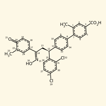 Cc1cc(C(=O)O)ccc1-c1ccc([C@H](CC(=NO)c2ccc(=O)n(C)c2)c2ccc(Cl)cc2Cl)cc1